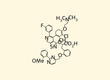 COc1ccccc1-c1nccc(COc2ccccc2C[C@@H](Oc2nsc3cnc(-c4cccc(F)c4)c(C4=C(C)C(Cl)=C(OCCN(C)C)CC4)c23)C(=O)O)n1